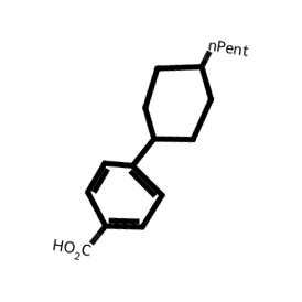 CCCCCC1CCC(c2ccc(C(=O)O)cc2)CC1